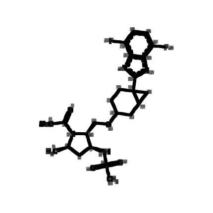 COC(=O)N1[C@H](C)C[C@H](NS(C)(=O)=O)[C@@H]1COC1CCC2(c3nc4c(F)ccc(F)c4s3)CC2C1